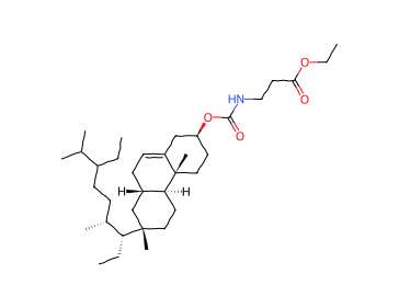 CCOC(=O)CCNC(=O)O[C@H]1CC[C@@]2(C)C(=CC[C@H]3C[C@@](C)([C@H](CC)[C@H](C)CCC(CC)C(C)C)CC[C@@H]32)C1